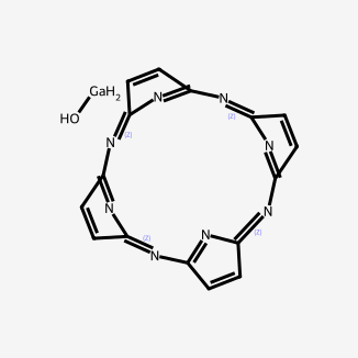 C1=C/C2=N/C3=NC(=N\C4=NC(=N\C5=NC(=N\C1=N2)/C=C5)/C=C4)/C=C3.[OH][GaH2]